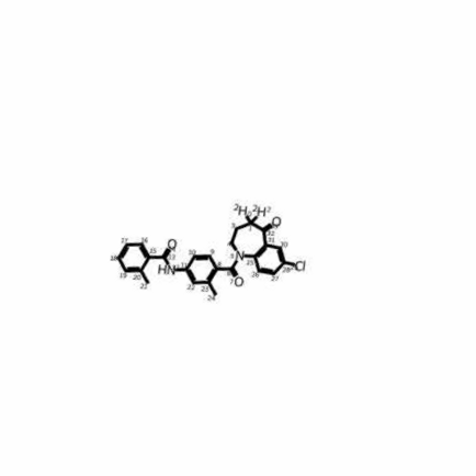 [2H]C1([2H])CCN(C(=O)c2ccc(NC(=O)c3ccccc3C)cc2C)c2ccc(Cl)cc2C1=O